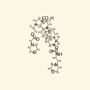 CC(COC(=O)CN1CCOCC1)[C@@H]1CC[C@]2(C(=O)O)CC[C@]3(C)C(CCC4[C@@]5(C)CC[C@@H](OC(=O)NCCN6CCOCC6)C(C)(C)C5CC[C@]43C)C12